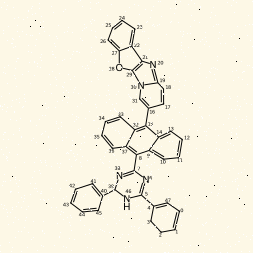 C1=CCCC(C2=NC(c3c4ccccc4c(-c4ccc5nc6c7ccccc7oc6n5c4)c4ccccc34)=NC(c3ccccc3)N2)=C1